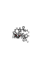 C=C(CN[C@@H](C)CC1(c2nn[nH]n2)c2ccsc2CCc2sc(C(N)=O)cc21)N1CCCC1C#N